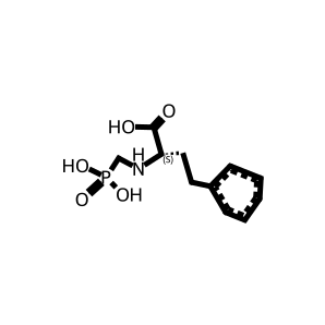 O=C(O)[C@H](CCc1ccccc1)NCP(=O)(O)O